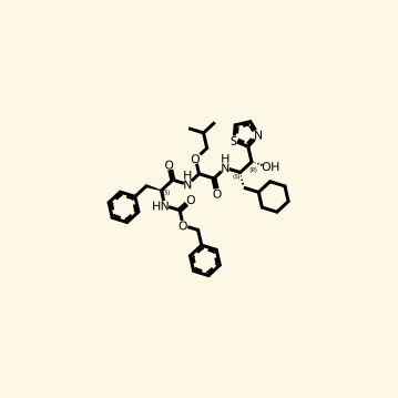 CC(C)COC(NC(=O)[C@H](Cc1ccccc1)NC(=O)OCc1ccccc1)C(=O)N[C@@H](CC1CCCCC1)[C@@H](O)c1nccs1